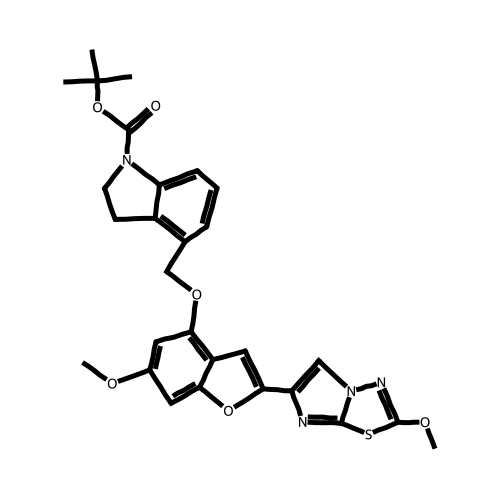 COc1cc(OCc2cccc3c2CCN3C(=O)OC(C)(C)C)c2cc(-c3cn4nc(OC)sc4n3)oc2c1